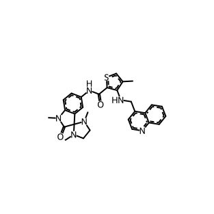 Cc1csc(C(=O)Nc2ccc3c(c2)C2(C(=O)N3C)N(C)CCN2C)c1NCc1ccnc2ccccc12